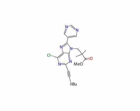 CCCCC#Cc1nc(Cl)c2nc(-c3cncnc3)n(CC(C)(C)C(=O)OC)c2n1